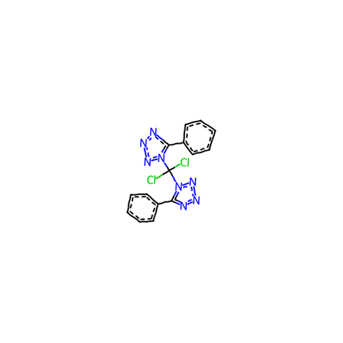 ClC(Cl)(n1nnnc1-c1ccccc1)n1nnnc1-c1ccccc1